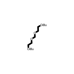 CC(C)COCCOCOCCOCC(C)C